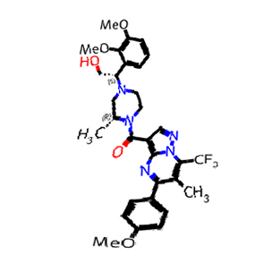 COc1ccc(-c2nc3c(C(=O)N4CCN([C@H](CO)c5cccc(OC)c5OC)C[C@H]4C)cnn3c(C(F)(F)F)c2C)cc1